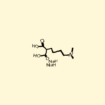 CN(C)CCCCC(C(=O)O)C(=O)O.[NaH].[NaH]